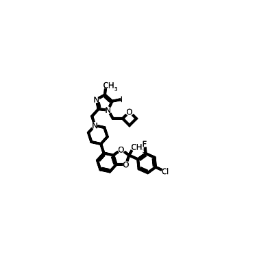 Cc1nc(CN2CCC(c3cccc4c3OC(C)(c3ccc(Cl)cc3F)O4)CC2)n(CC2CCO2)c1I